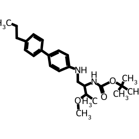 CCCc1ccc(-c2ccc(NCC(NC(=O)OC(C)(C)C)C(C)OC)cc2)cc1